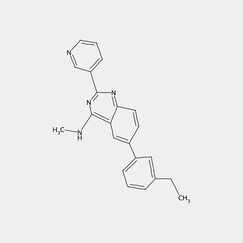 CCc1cccc(-c2ccc3nc(-c4cccnc4)nc(NC)c3c2)c1